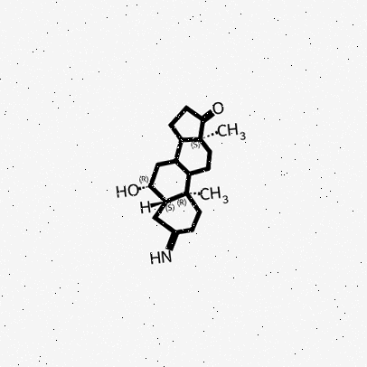 C[C@]12CCC3C(C[C@@H](O)[C@H]4CC(=N)CC[C@]34C)C1CCC2=O